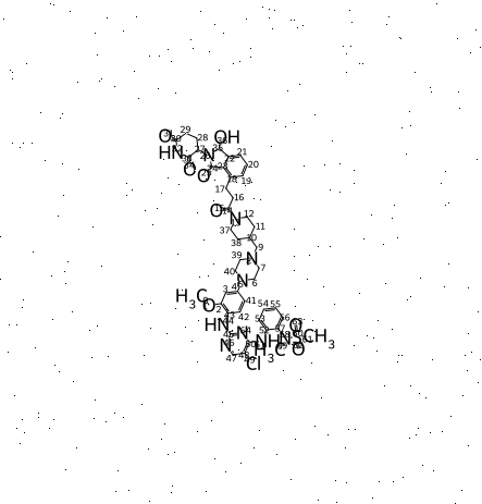 COc1cc(N2CCN(CC3CCN(C(=O)CCc4cccc5c4C(=O)N(C4CCC(=O)NC4=O)C5O)CC3)CC2)ccc1Nc1ncc(Cl)c(Nc2ccccc2N(C)S(C)(=O)=O)n1